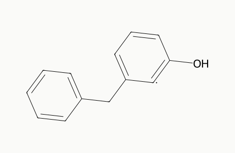 Oc1[c]c(Cc2ccccc2)ccc1